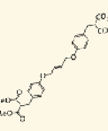 COC(=O)C(Cc1ccc(OCC=CCOc2ccc(CC(C(=O)O)C(=O)O)cc2)cc1)C(=O)OC